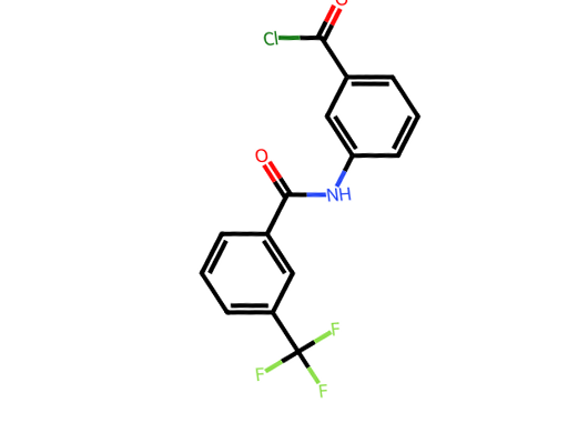 O=C(Cl)c1cccc(NC(=O)c2cccc(C(F)(F)F)c2)c1